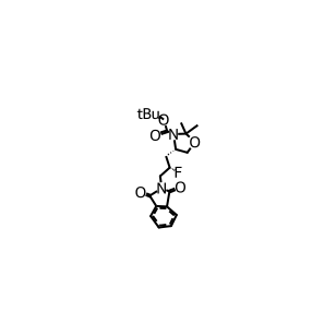 CC(C)(C)OC(=O)N1[C@@H](C[C@H](F)CN2C(=O)c3ccccc3C2=O)COC1(C)C